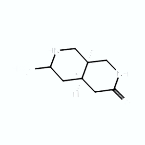 O=C1C[C@H]2CC(C(=O)O)NC[C@H]2CN1